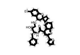 CCc1ccc2c(c1)[C@@H](NC[C@@H](O)[C@H](Cc1ccccc1)NC(=O)c1cc(-c3ccco3)nc3ccccc13)CC1(CCC1)O2